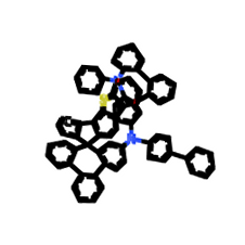 c1ccc(-c2ccc(N(c3ccc4c(c3)-c3ccccc3-c3ccccc3N4c3ccccc3)c3ccc4c(c3)C3(c5ccccc5-c5ccccc5-4)c4ccccc4-c4c3ccc3c4sc4ccccc43)cc2)cc1